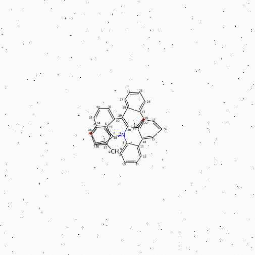 Cc1ccccc1N(c1ccccc1-c1ccccc1)c1ccc2ccccc2c1-c1cccc2ccccc12